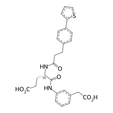 O=C(O)CC[C@H](NC(=O)CCc1ccc(-c2cccs2)cc1)C(=O)Nc1cccc(CC(=O)O)c1